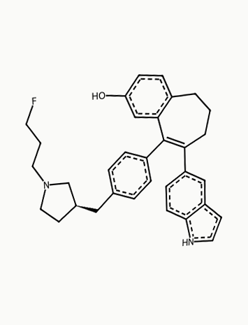 Oc1ccc2c(c1)C(c1ccc(C[C@H]3CCN(CCCF)C3)cc1)=C(c1ccc3[nH]ccc3c1)CCC2